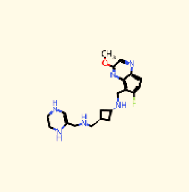 COc1cnc2ccc(F)c(CN[C@H]3C[C@H](CNCC4=CNCCN4)C3)c2n1